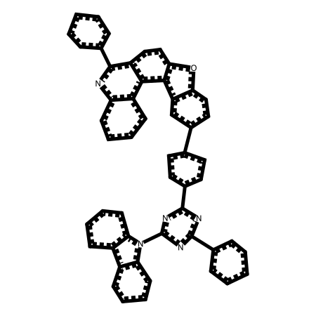 c1ccc(-c2nc(-c3ccc(-c4ccc5oc6ccc7c(-c8ccccc8)nc8ccccc8c7c6c5c4)cc3)nc(-n3c4ccccc4c4ccccc43)n2)cc1